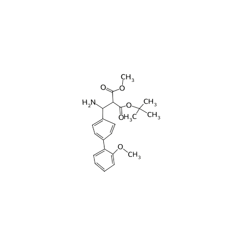 COC(=O)C(C(=O)OC(C)(C)C)C(N)c1ccc(-c2ccccc2OC)cc1